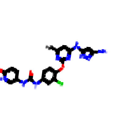 Cc1cc(Nc2cc(N)n[nH]2)nc(Oc2ccc(NC(=O)Nc3ccc(=O)[nH]c3)cc2Cl)n1